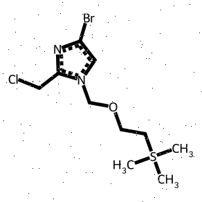 CS(C)(C)CCOCn1cc(Br)nc1CCl